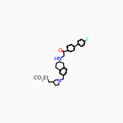 CCOC(=O)CC1CCN(Cc2ccc3c(c2)CCC(NCC(=O)c2ccc(-c4ccc(F)cc4)cc2)C3)C1